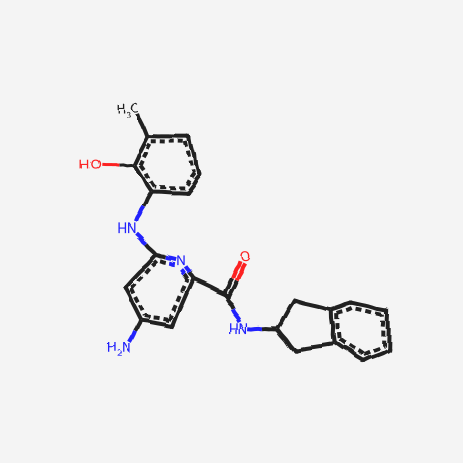 Cc1cccc(Nc2cc(N)cc(C(=O)NC3Cc4ccccc4C3)n2)c1O